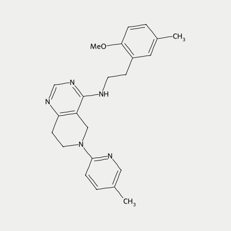 COc1ccc(C)cc1CCNc1ncnc2c1CN(c1ccc(C)cn1)CC2